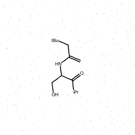 C=C(CC(C)(C)C)NC(CO)C(=O)C(C)C